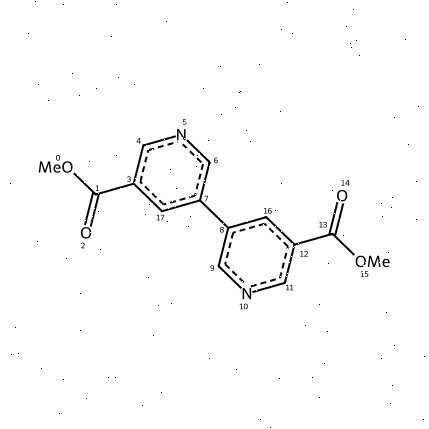 COC(=O)c1cncc(-c2cncc(C(=O)OC)c2)c1